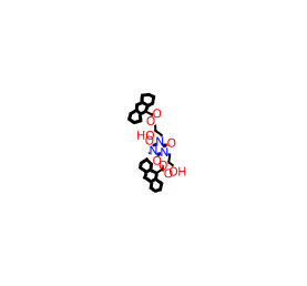 Cn1c(=O)n(CC(O)COC(=O)c2c3ccccc3cc3ccccc23)c(=O)n(CC(CO)OC(=O)c2c3ccccc3cc3ccccc23)c1=O